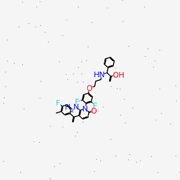 C=C(c1ccc(F)c(C)c1)c1ccc(=O)n(-c2c(F)cc(OCCCN[C@H](C(=C)O)c3ccccc3)cc2F)c1N